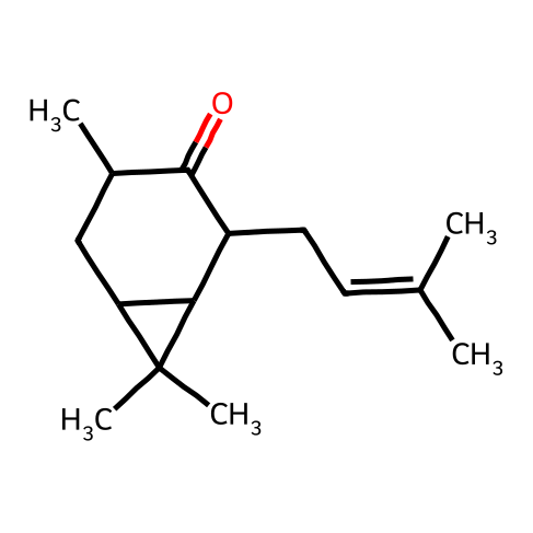 CC(C)=CCC1C(=O)C(C)CC2C1C2(C)C